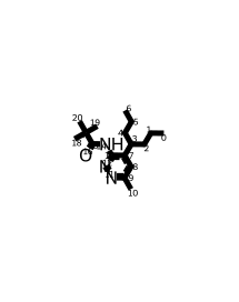 CCCC(CCC)c1cc(C)nnc1NC(=O)C(C)(C)C